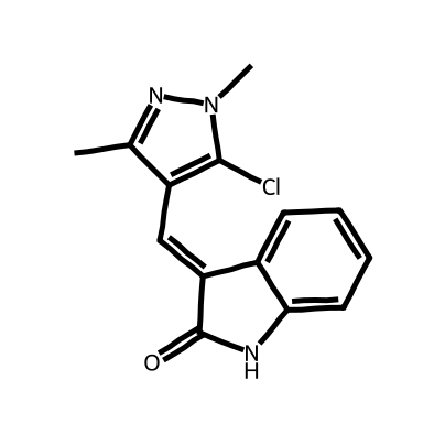 Cc1nn(C)c(Cl)c1C=C1C(=O)Nc2ccccc21